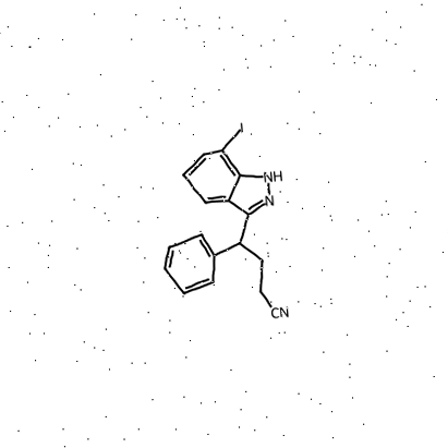 N#CCCC(c1ccccc1)c1n[nH]c2c(I)cccc12